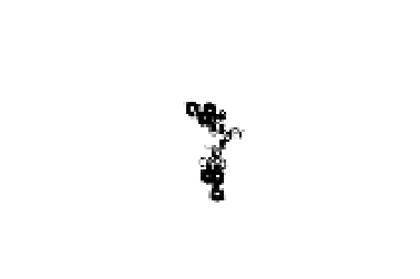 CC(C)N(CCCNCCN1C(=O)c2cccc3c(N4CCCCC4)ccc(c23)C1=O)CCN1C(=O)c2cccc3c(N4CCCCC4)ccc(c23)C1=O